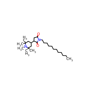 CCCCCCCCCCCCN1C(=O)CC(C2CC(C)(C)N(C)C(C)(C)C2)C1=O